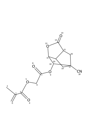 C=C(C)C(=O)OCC(=O)OC1C2OC(=O)C3CC1(C#N)CC32